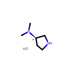 CN(C)[C@@H]1CCNC1.Cl